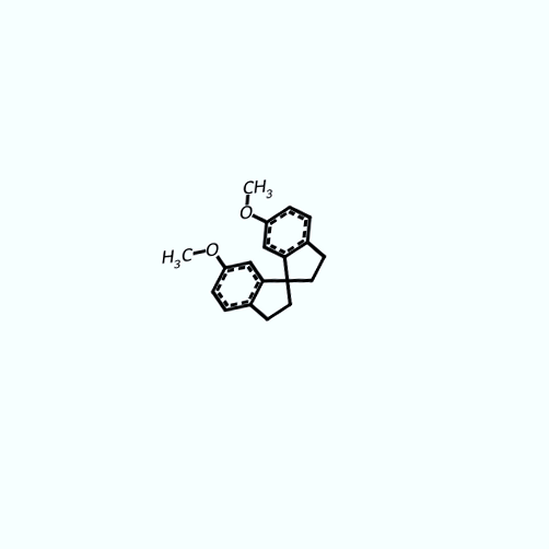 COc1ccc2c(c1)C1(CC2)CCc2ccc(OC)cc21